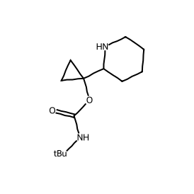 CC(C)(C)NC(=O)OC1(C2CCCCN2)CC1